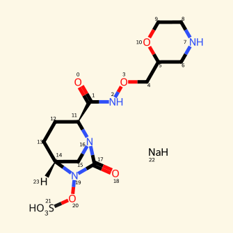 O=C(NOCC1CNCCO1)[C@@H]1CC[C@@H]2CN1C(=O)N2OS(=O)(=O)O.[NaH]